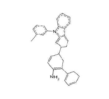 Cc1cccc(-n2c3c(c4ccccc42)=CCC(C2C=CC(N)=C(C4=CC=CCC4)C2)C=3)c1